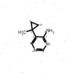 CC1(c2cncnc2N)CC1